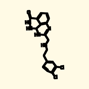 O=C1NNC2NC(CNCCc3ccc(Cl)c(Cl)c3)=Nc3cccc1c32